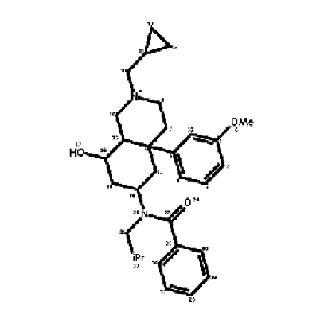 COc1cccc(C23CCN(CC4CC4)CC2C(O)CC(N(CC(C)C)C(=O)c2ccccc2)C3)c1